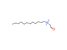 CCCCCCCCCCCC[N+](C)(C)CC=O